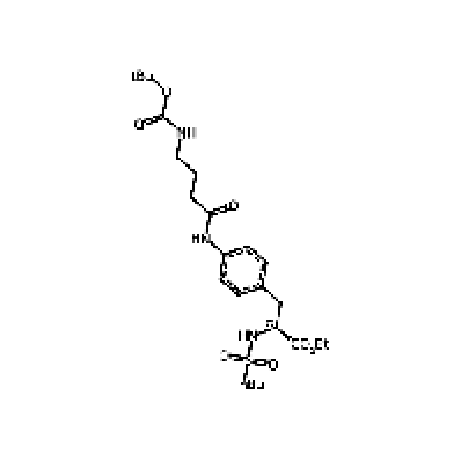 CCCCS(=O)(=O)N[C@@H](Cc1ccc(NC(=O)CCCNC(=O)OC(C)(C)C)cc1)C(=O)OCC